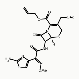 C=CCOC(=O)C1=C(COC(C)=O)CS[C@H]2C(NC(=O)C(=NOC)c3csc(N)n3)C(=O)N12